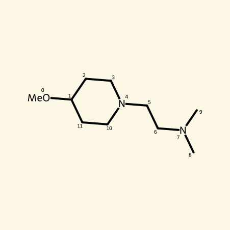 COC1CCN(CCN(C)C)CC1